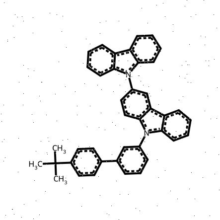 CC(C)(C)c1ccc(-c2cccc(-n3c4ccccc4c4cc(-n5c6ccccc6c6ccccc65)ccc43)c2)cc1